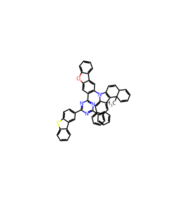 CC12C=CC=CC1C=Cc1c2c2cc3ccccc3cc2n1-c1cc2c(cc1-c1nc(-c3ccccc3)nc(-c3ccc4sc5ccccc5c4c3)n1)oc1ccccc12